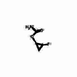 NC(=O)O[C@@H]1C[C@@H]1F